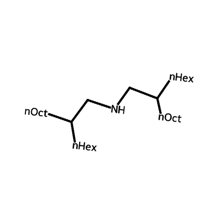 CCCCCCCCC(CCCCCC)CNCC(CCCCCC)CCCCCCCC